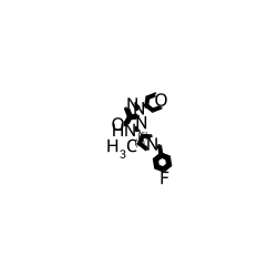 C[C@@H]1CN(Cc2ccc(F)cc2)C[C@H]1c1nc2c(cnn2C2CCOCC2)c(=O)[nH]1